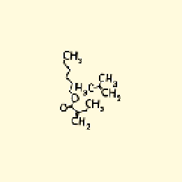 C=C(C)C.C=C(CC)C(=O)OCCCCCC